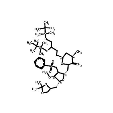 C=C1C(C[C@@H]2O[C@H](CC3COC(C)(C)O3)[C@H](OC)C2CS(=O)(=O)c2ccccc2)O[C@@H](CCC(CO[Si](C)(C)C(C)(C)C)O[Si](C)(C)C(C)(C)C)C[C@H]1C